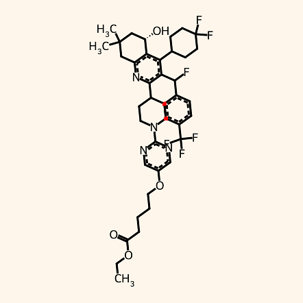 CCOC(=O)CCCCOc1cnc(N2CCC(c3nc4c(c(C5CCC(F)(F)CC5)c3C(F)c3ccc(C(F)(F)F)cc3)[C@@H](O)CC(C)(C)C4)CC2)nc1